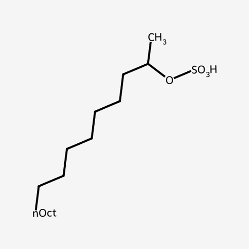 CCCCCCCCCCCCCCCC(C)OS(=O)(=O)O